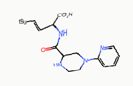 CC(C)(C)/C=C/C(NC(=O)C1CN(c2ccccn2)CCN1)C(=O)O